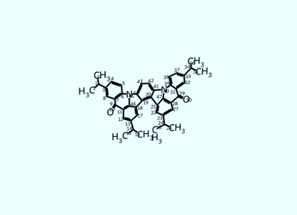 CC(C)c1ccc2c(c1)c(=O)c1cc(C(C)C)cc3c4c5c6cc(C(C)C)cc7c(=O)c8cc(C(C)C)ccc8n(c5ccc4n2c13)c76